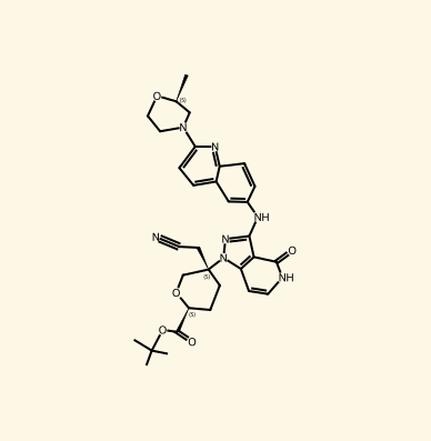 C[C@H]1CN(c2ccc3cc(Nc4nn([C@]5(CC#N)CC[C@@H](C(=O)OC(C)(C)C)OC5)c5cc[nH]c(=O)c45)ccc3n2)CCO1